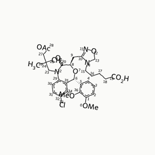 COc1cccc([C@H]2O[C@H](CC3=NOCN3CCCCC(=O)O)C(=O)N(CC(C)(C)COC(C)=O)c3ccc(Cl)cc32)c1OC